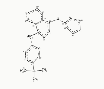 CC(C)(C)c1ccc(Nc2ncc(Cc3cccnc3)c3ccccc23)cc1